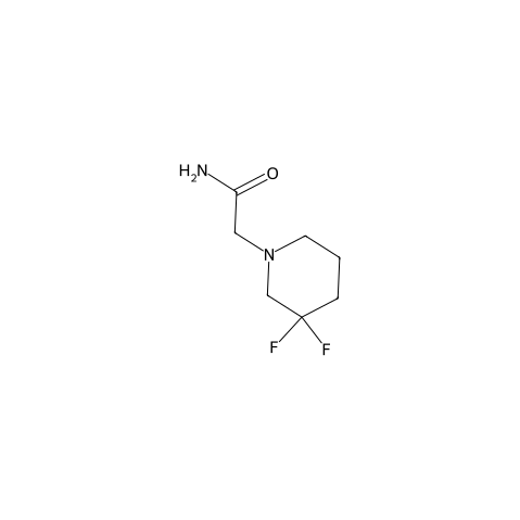 NC(=O)CN1CCCC(F)(F)C1